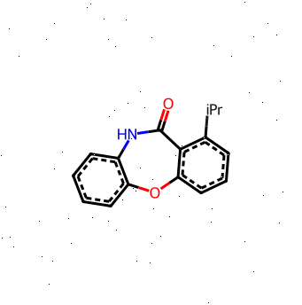 CC(C)c1cccc2c1C(=O)Nc1ccccc1O2